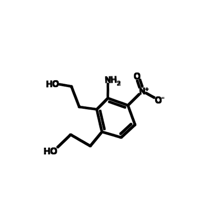 Nc1c([N+](=O)[O-])ccc(CCO)c1CCO